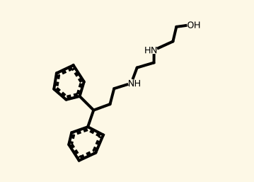 OCCNCCNCCC(c1ccccc1)c1ccccc1